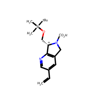 C=Cc1cnc2c(c1)CN(C(=O)O)[C@H]2CO[Si](C)(C)C(C)(C)C